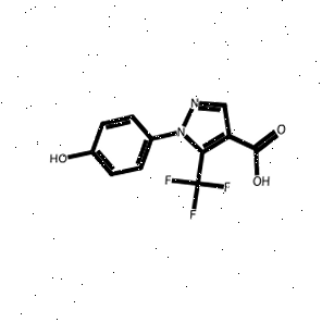 O=C(O)c1cnn(-c2ccc(O)cc2)c1C(F)(F)F